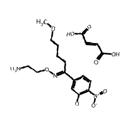 COCCCCC(=NOCCN)c1ccc([N+](=O)[O-])c(Cl)c1.O=C(O)C=CC(=O)O